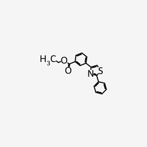 CCOC(=O)c1cccc(-c2csc(-c3ccccc3)n2)c1